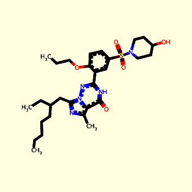 CCCCCC(CC)Cc1nc(C)c2c(=O)[nH]c(-c3cc(S(=O)(=O)N4CCC(O)CC4)ccc3OCCC)nn12